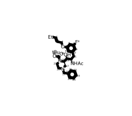 CC/C=C/COc1cc(F)cc(C[C@H](NC(C)=O)[C@H](O)[C@H]2CN(Cc3ccccc3)CCN2C(=O)OC(C)(C)C)c1